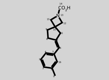 Cc1cccc(C=C2CCC3(C2)CN(C(=O)O)C3)c1